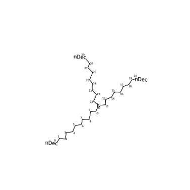 CCCCCCCCCCCCCCCCCCCCN(CCCCCCCCCCCCCCCCCC)CCCCCCCCCCCCCCCCCC